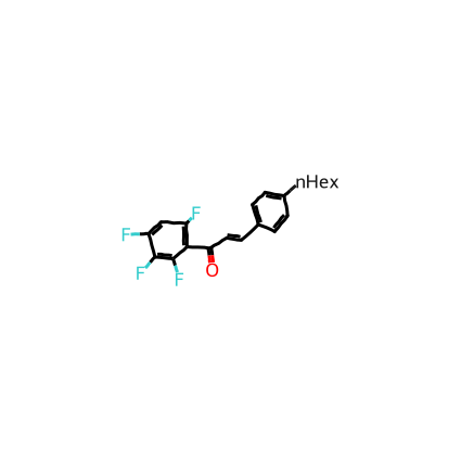 CCCCCCc1ccc(C=CC(=O)c2c(F)cc(F)c(F)c2F)cc1